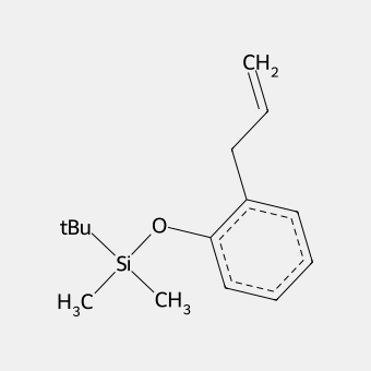 C=CCc1ccccc1O[Si](C)(C)C(C)(C)C